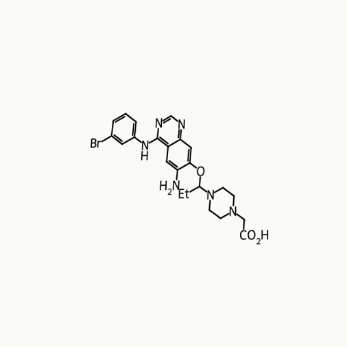 CCC(Oc1cc2ncnc(Nc3cccc(Br)c3)c2cc1N)N1CCN(CC(=O)O)CC1